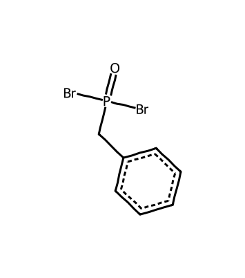 O=P(Br)(Br)Cc1ccccc1